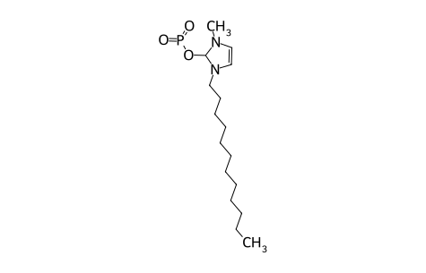 CCCCCCCCCCCCN1C=CN(C)C1OP(=O)=O